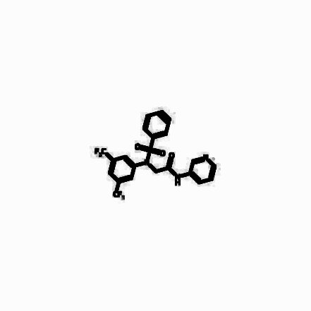 O=C(CN(c1cc(C(F)(F)F)cc(C(F)(F)F)c1)S(=O)(=O)c1cc#ccc1)Nc1cccnc1